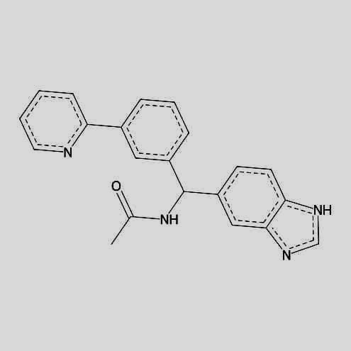 CC(=O)NC(c1cccc(-c2ccccn2)c1)c1ccc2[nH]cnc2c1